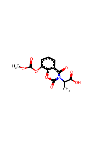 COC(=O)Oc1cccc2c(=O)n(C(C)C(=O)O)c(=O)oc12